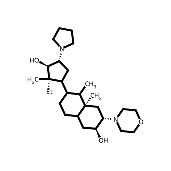 CC[C@@]1(C)C(C2CCC3C[C@H](O)[C@@H](N4CCOCC4)C[C@]3(C)C2C)C[C@@H](N2CCCC2)[C@@H]1O